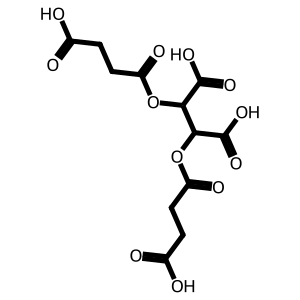 O=C(O)CCC(=O)OC(C(=O)O)C(OC(=O)CCC(=O)O)C(=O)O